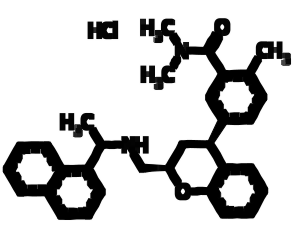 Cc1ccc([C@@H]2C[C@H](CNC(C)c3cccc4ccccc34)Oc3ccccc32)cc1C(=O)N(C)C.Cl